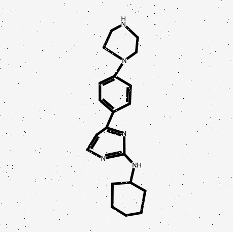 c1cc(-c2ccc(N3CCNCC3)cc2)nc(NC2CCCCC2)n1